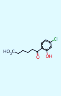 O=C(O)CCCCC(=O)c1ccc(Cl)cc1O